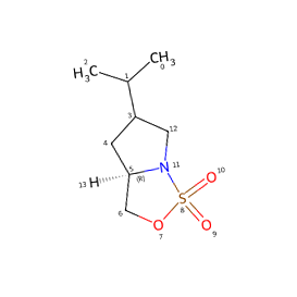 CC(C)C1C[C@@H]2COS(=O)(=O)N2C1